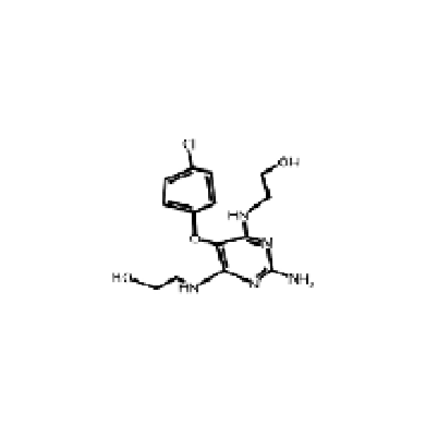 Nc1nc(NCCO)c(Oc2ccc(Cl)cc2)c(NCCO)n1